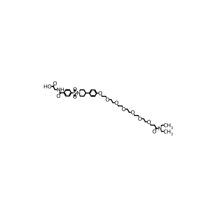 CCN(CC)C(=O)CCOCCOCCOCCOCCOCCOCCOc1ccc(C2CCN(S(=O)(=O)c3ccc(C(=O)NCC(=O)O)cc3)CC2)cc1